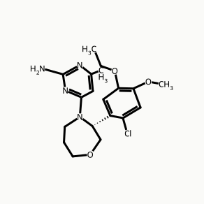 CCOc1cc([C@@H]2COCCCN2c2cc(C)nc(N)n2)c(Cl)cc1OC